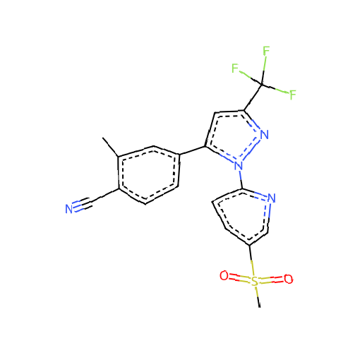 Cc1cc(-c2cc(C(F)(F)F)nn2-c2ccc(S(C)(=O)=O)cn2)ccc1C#N